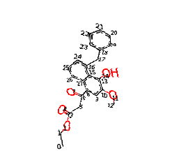 CCOC(=O)CC(=O)c1cc(OC)c(O)c2c(Cc3ccccc3)cccc12